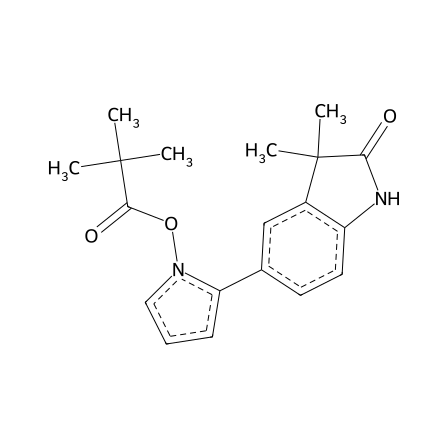 CC(C)(C)C(=O)On1cccc1-c1ccc2c(c1)C(C)(C)C(=O)N2